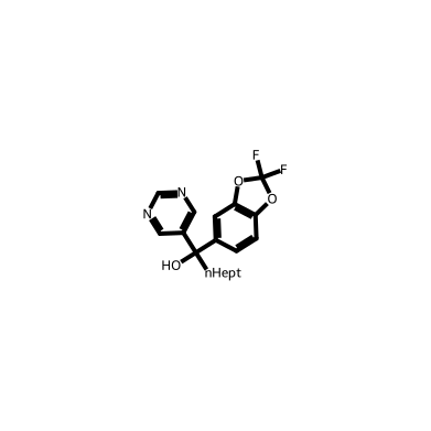 CCCCCCCC(O)(c1cncnc1)c1ccc2c(c1)OC(F)(F)O2